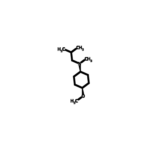 CO[C@H]1CC[C@@H](N(C)CC(C)C)CC1